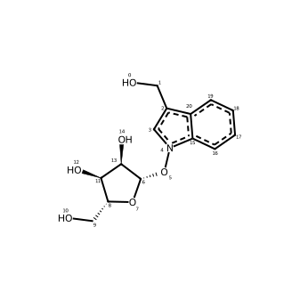 OCc1cn(O[C@@H]2O[C@H](CO)[C@@H](O)[C@H]2O)c2ccccc12